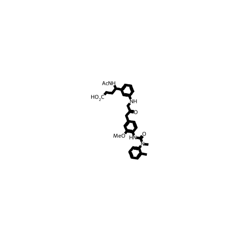 COc1cc(CC(=O)CNc2cccc(C(CCC(=O)O)NC(C)=O)c2)ccc1NC(=O)N(C)c1ccccc1C